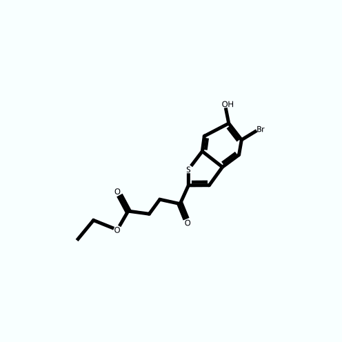 CCOC(=O)CCC(=O)c1cc2cc(Br)c(O)cc2s1